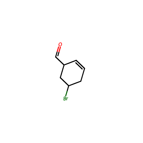 O=CC1C=CCC(Br)C1